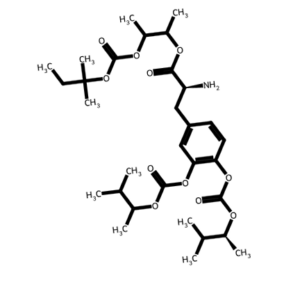 CCC(C)(C)OC(=O)OC(C)C(C)OC(=O)[C@@H](N)Cc1ccc(OC(=O)O[C@@H](C)C(C)C)c(OC(=O)OC(C)C(C)C)c1